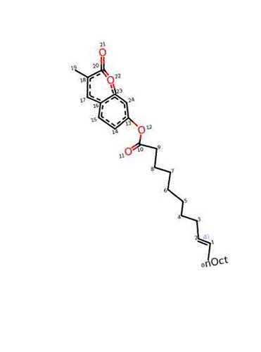 CCCCCCCC/C=C/CCCCCCCC(=O)Oc1ccc2cc(C)c(=O)oc2c1